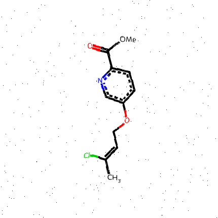 COC(=O)c1ccc(OC/C=C(/C)Cl)cn1